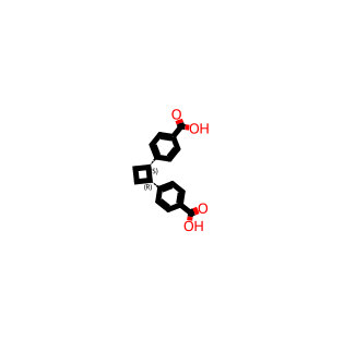 O=C(O)c1ccc([C@H]2CC[C@H]2c2ccc(C(=O)O)cc2)cc1